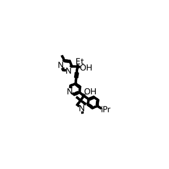 CCC(O)(C#Cc1cncc([C@@](O)(c2ccc(C(C)C)cc2)C2(C)CN(C)C2)c1)c1cc(C)ncn1